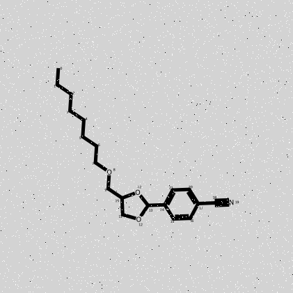 CCCCCCCCOCC1COC(c2ccc(C#N)cc2)O1